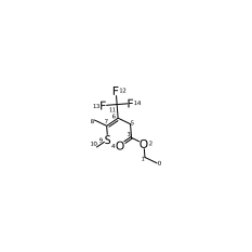 CCOC(=O)CC(=C(C)SC)C(F)(F)F